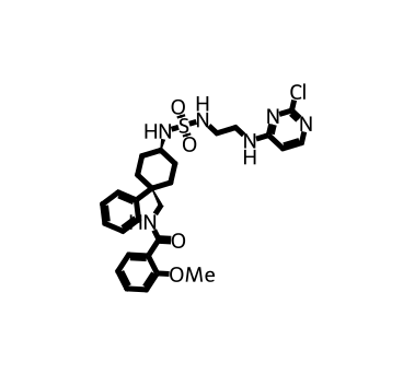 COc1ccccc1C(=O)NC[C@]1(c2ccccc2)CC[C@H](NS(=O)(=O)NCCNc2ccnc(Cl)n2)CC1